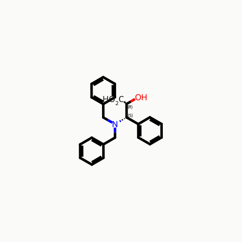 O=C(O)[C@H](O)[C@H](c1ccccc1)N(Cc1ccccc1)Cc1ccccc1